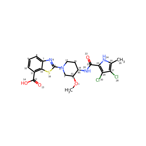 CO[C@H]1CN(c2nc3cccc(C(=O)O)c3s2)CC[C@H]1NC(=O)c1[nH]c(C)c(Cl)c1Cl